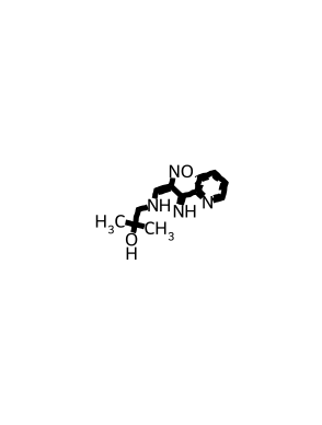 CC(C)(O)CN/C=C(\C(=N)c1ccccn1)[N+](=O)[O-]